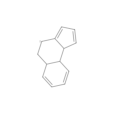 [C]1CC2C=CC=CC2C2C=CC=C12